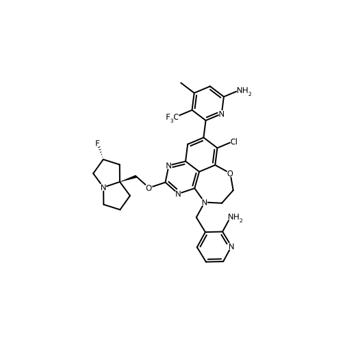 Cc1cc(N)nc(-c2cc3nc(OC[C@@]45CCCN4C[C@H](F)C5)nc4c3c(c2Cl)OCCN4Cc2cccnc2N)c1C(F)(F)F